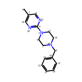 [CH2]c1cnc(N2CCN(Cc3ccccc3)CC2)nc1